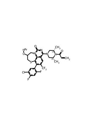 C=CC(=O)N1[C@H](C)CN(c2nc(=O)n3c4c(c(-c5cc(Cl)c(F)cc5F)c(C(F)(F)F)cc24)SCC(OCCC)C3)C[C@@H]1C